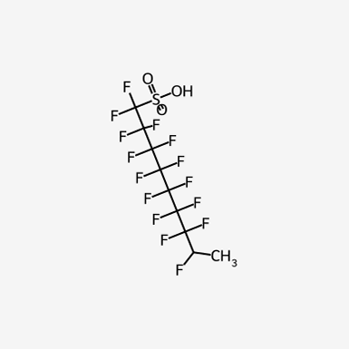 CC(F)C(F)(F)C(F)(F)C(F)(F)C(F)(F)C(F)(F)C(F)(F)C(F)(F)S(=O)(=O)O